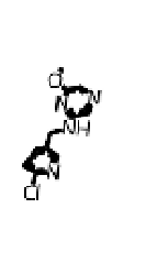 COc1cncc(NCc2ccc(Cl)nc2)n1